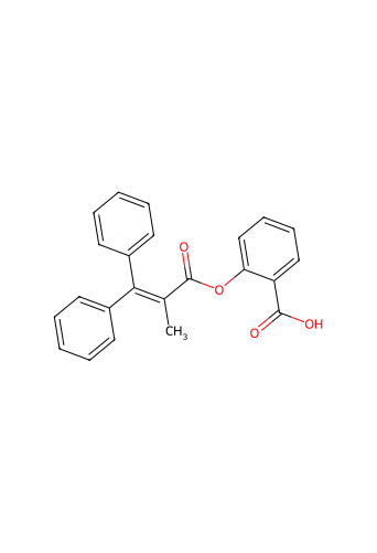 CC(C(=O)Oc1ccccc1C(=O)O)=C(c1ccccc1)c1ccccc1